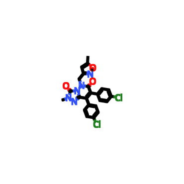 Cc1cc(Cn2c(=O)c(-c3ccc(Cl)cc3)c(-c3ccc(Cl)cc3)c3nn(C)c(=O)n32)no1